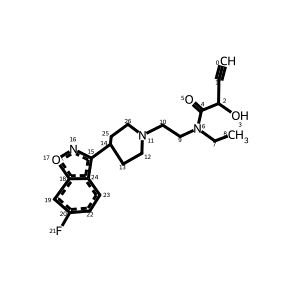 C#CC(O)C(=O)N(CC)CCN1CCC(c2noc3cc(F)ccc23)CC1